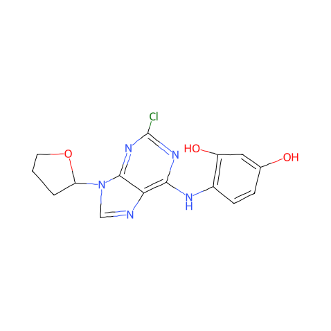 Oc1ccc(Nc2nc(Cl)nc3c2ncn3C2CCCO2)c(O)c1